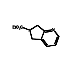 CCOC(=O)N1Cc2cccnc2C1